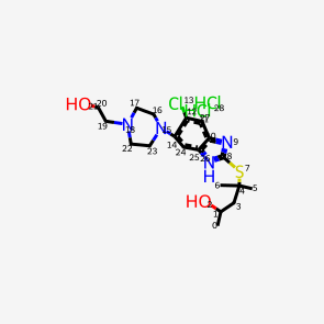 CC(O)CC(C)(C)Sc1nc2cc(Cl)c(N3CCN(CCO)CC3)cc2[nH]1.Cl.Cl